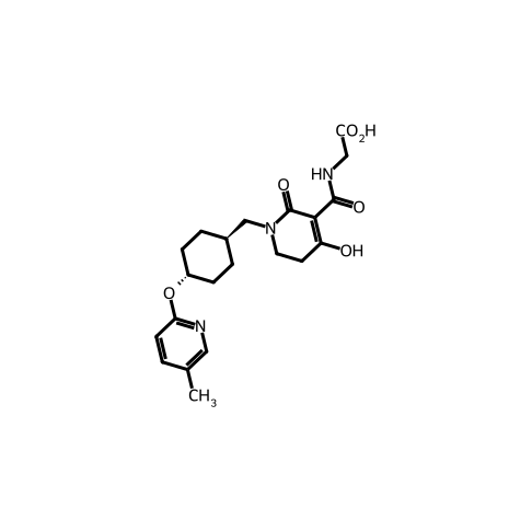 Cc1ccc(O[C@H]2CC[C@H](CN3CCC(O)=C(C(=O)NCC(=O)O)C3=O)CC2)nc1